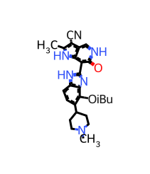 Cc1[nH]c2c(-c3nc4c(OCC(C)C)c(C5CCN(C)CC5)ccc4[nH]3)c(=O)[nH]cc2c1C#N